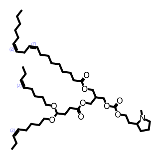 CC/C=C\CCCCOC(CCC(=O)OCC(COC(=O)CCCCCCC/C=C\C/C=C\CCCCC)COC(=O)OCCC1CCCN1C)OCCCC/C=C\CC